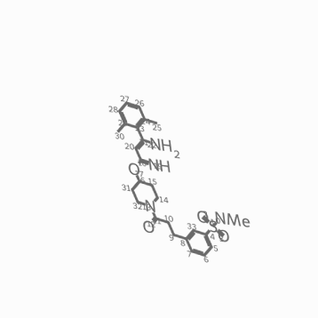 CNS(=O)(=O)c1cccc(CCC(=O)N2CCC(OC(=N)/C=C(\N)c3c(C)cccc3C)CC2)c1